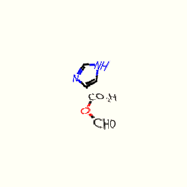 O=COC(=O)O.c1c[nH]cn1